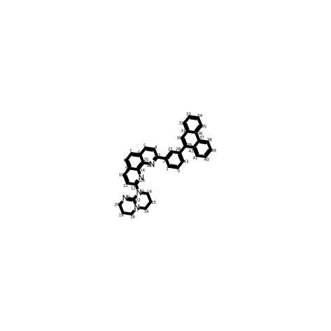 c1cc(-c2ccc3ccc4ccc(N5CCCN6CCCN=C65)nc4c3n2)cc(-c2cc3ccccc3c3ccccc23)c1